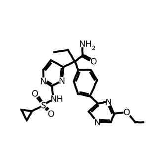 CCOc1cncc(-c2ccc(C(CC)(C(N)=O)c3ccnc(NS(=O)(=O)C4CC4)n3)cc2)n1